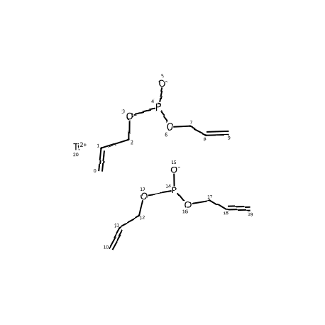 C=CCOP([O-])OCC=C.C=CCOP([O-])OCC=C.[Ti+2]